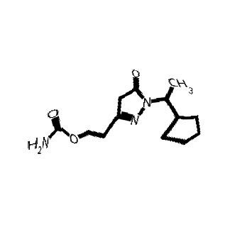 CC(C1CCCC1)N1N=C(CCOC(N)=O)CC1=O